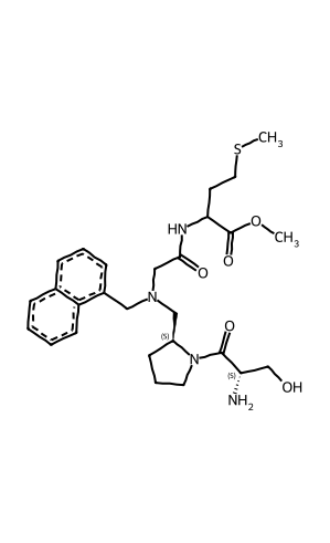 COC(=O)C(CCSC)NC(=O)CN(Cc1cccc2ccccc12)C[C@@H]1CCCN1C(=O)[C@@H](N)CO